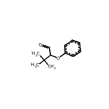 CC(C)(C)C([C]=O)Oc1ccccc1